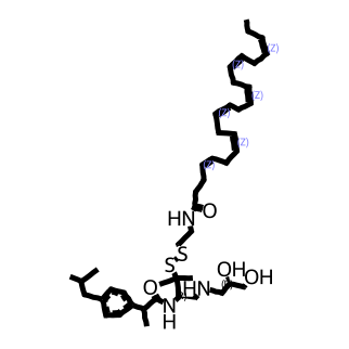 CC/C=C\C/C=C\C/C=C\C/C=C\C/C=C\C/C=C\CCC(=O)NCCSSC(C)(C)[C@@H](CNC[C@@H](O)CO)NC(=O)C(C)c1ccc(CC(C)C)cc1